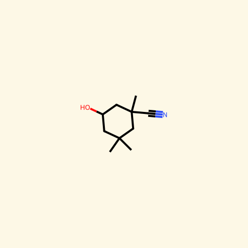 CC1(C)CC(O)CC(C)(C#N)C1